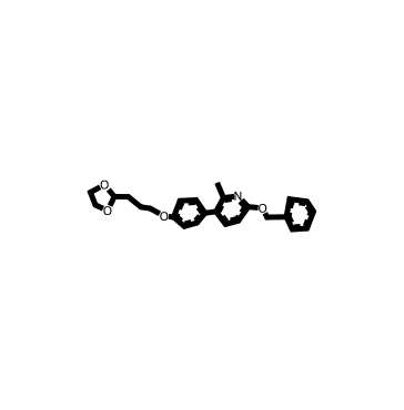 Cc1nc(OCc2ccccc2)ccc1-c1ccc(OCCCC2OCCO2)cc1